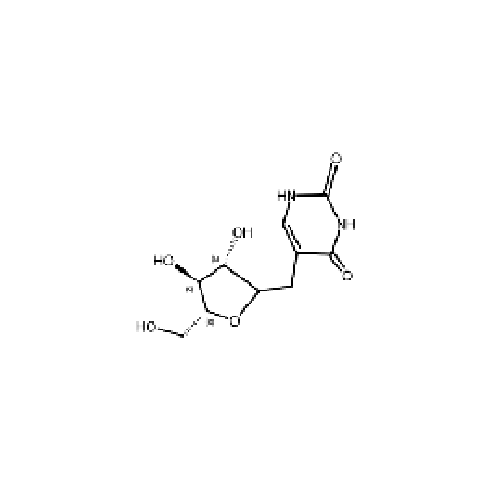 O=c1[nH]cc(CC2O[C@H](CO)[C@@H](O)[C@@H]2O)c(=O)[nH]1